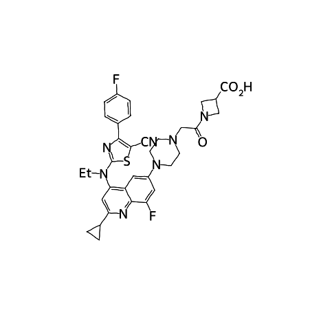 CCN(c1nc(-c2ccc(F)cc2)c(C#N)s1)c1cc(C2CC2)nc2c(F)cc(N3CCN(CC(=O)N4CC(C(=O)O)C4)CC3)cc12